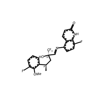 COc1c(F)cccc1[C@H](C)C[C@@](O)(C=Nc1ccc(F)c2[nH]c(=O)ccc12)C(F)(F)F